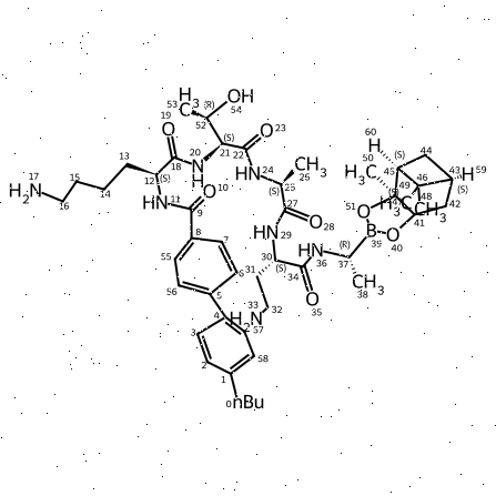 CCCCc1ccc(-c2ccc(C(=O)N[C@@H](CCCCN)C(=O)N[C@H](C(=O)N[C@@H](C)C(=O)N[C@@H](CCN)C(=O)N[C@@H](C)B3OC4C[C@@H]5C[C@@H](C5(C)C)[C@]4(C)O3)[C@@H](C)O)cc2)cc1